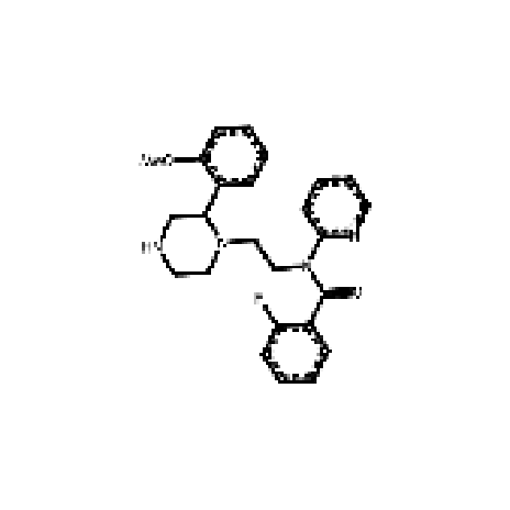 COc1ccccc1C1CNCCN1CCN(C(=O)c1ccccc1F)c1ccccn1